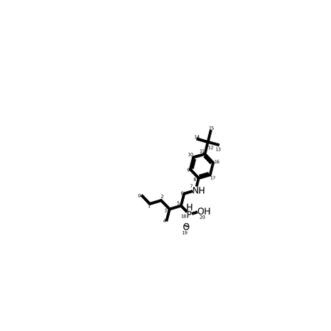 CCCC(C)C(CNc1ccc(C(C)(C)C)cc1)[PH](=O)O